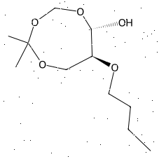 CCCCO[C@H]1COC(C)(C)OCO[C@@H]1O